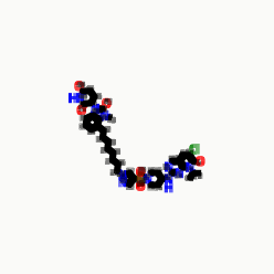 CC(C)n1c(=O)c(Cl)cc2cnc(NC3CCN(S(=O)(=O)c4cnn(CCCCCCCCc5cccc6c5n(C)c(=O)n6C5CCC(=O)NC5=O)c4)CC3)nc21